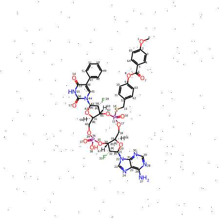 COc1ccc(C(=O)Oc2ccc(CSP3(=O)OC[C@H]4O[C@@H](n5cnc6c(N)ncnc65)[C@H](F)[C@@H]4OP(=O)(O)OC[C@H]4O[C@@H](n5cc(-c6ccccc6)c(=O)[nH]c5=O)[C@H](F)[C@@H]4O3)cc2)cc1